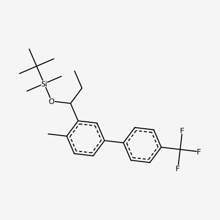 CCC(O[Si](C)(C)C(C)(C)C)c1cc(-c2ccc(C(F)(F)F)cc2)ccc1C